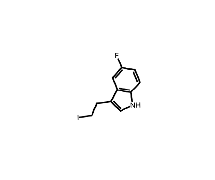 Fc1ccc2[nH]cc(CCI)c2c1